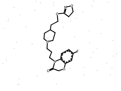 O=C1COc2cc(F)ccc2N1CCCN1CCC(CCOC2=NOCC2)CC1